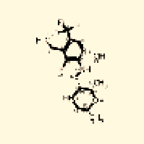 CCc1c(C(F)(F)F)cnc(NC[C@H]2NC[C@@H](C)O[C@H]2C)c1F.Cl